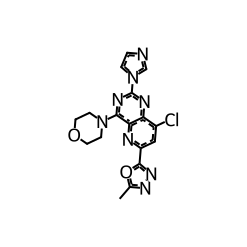 Cc1nnc(-c2cc(Cl)c3nc(-n4ccnc4)nc(N4CCOCC4)c3n2)o1